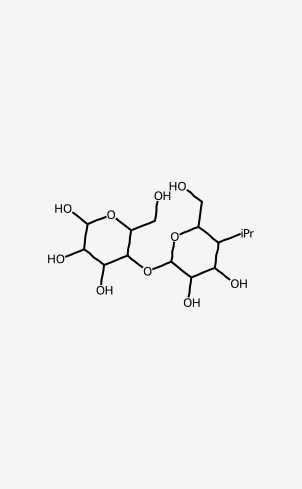 CC(C)C1C(CO)OC(OC2C(CO)OC(O)C(O)C2O)C(O)C1O